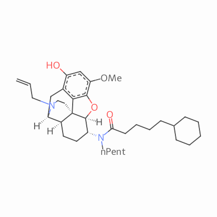 C=CCN1CC[C@]23c4c5c(O)cc(OC)c4O[C@H]2[C@H](N(CCCCC)C(=O)CCCCC2CCCCC2)CC[C@H]3[C@H]1C5